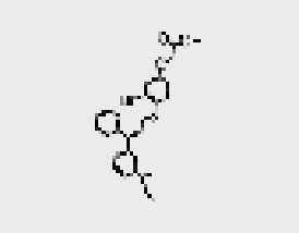 CCOc1cccc(C(=CCSc2ccc(OCC(=O)O)cc2Br)c2ccccc2)c1